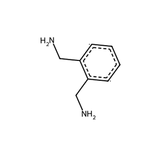 NCc1[c]cc[c]c1CN